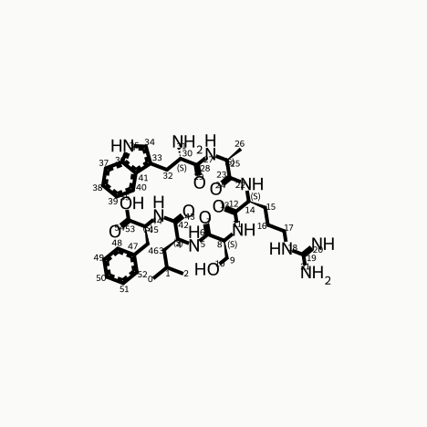 CC(C)C[C@H](NC(=O)[C@H](CO)NC(=O)[C@H](CCCNC(=N)N)NC(=O)[C@H](C)NC(=O)[C@@H](N)Cc1c[nH]c2ccccc12)C(=O)N[C@@H](Cc1ccccc1)C(=O)O